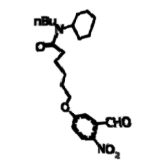 CCCCN(C(=O)CCCCCOc1ccc([N+](=O)[O-])c(C=O)c1)C1CCCCC1